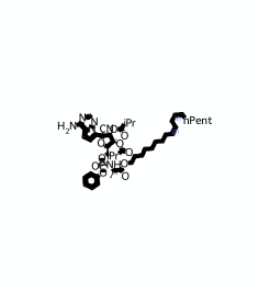 CCCCC/C=C\C/C=C\CCCCCCCCOC(=O)[C@H](C)N[P@@](=O)(OC[C@H]1O[C@@](C#N)(c2ccc3c(N)ncnn23)[C@H](OC(=O)C(C)C)[C@@H]1OC(=O)C(C)C)Oc1ccccc1